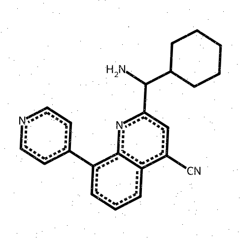 N#Cc1cc(C(N)C2CCCCC2)nc2c(-c3ccncc3)cccc12